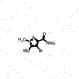 CNC(=O)c1nn(C)c(C(C)(C)C)c1Br